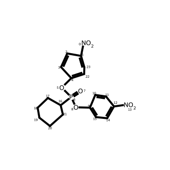 O=[N+]([O-])c1ccc(OP(=O)(Oc2ccc([N+](=O)[O-])cc2)C2CCCCC2)cc1